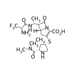 C[C@@H](NC(=O)C(N)C(F)(F)F)C1C(=O)N2C(C(=O)O)=C(S[C@@H]3CN[C@H](C(=O)N(C)C)C3)[C@H](C)[C@H]12